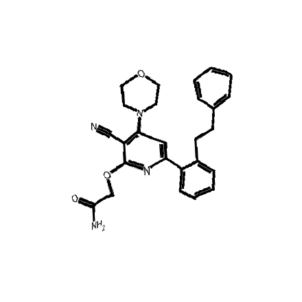 N#Cc1c(N2CCOCC2)cc(-c2ccccc2CCc2ccccc2)nc1OCC(N)=O